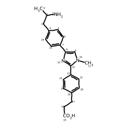 CC(N)Cc1ccc(-c2cn(C)c(-c3ccc(CCC(=O)O)cc3)n2)cc1